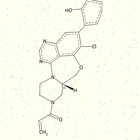 C=CC(=O)N1CCN2c3ncnc4cc(-c5ccccc5O)c(Cl)c(c34)OC[C@@H]2C1